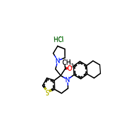 CC(=O)C1(CN2CCCC2)c2ccsc2CCN1c1ccc2c(c1)CCCC2.Cl